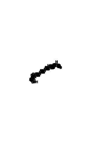 COc1ccc(Nc2ccc3c(O)c(N=Nc4cc(C)c(N=Nc5cc(C)c(N=Nc6cc(C)c(N=Nc7cc8c(S(=O)(=O)O)cccc8cc7S(=O)(=O)O)cc6C)cc5C)cc4C)ccc3c2)cc1